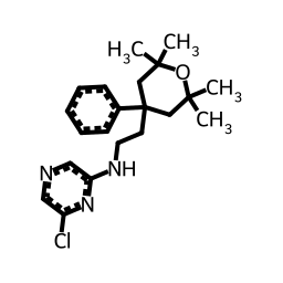 CC1(C)CC(CCNc2cncc(Cl)n2)(c2ccccc2)CC(C)(C)O1